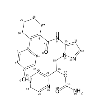 Cc1ccc(C2=C(C(=O)Nc3ccnn3CC(OC(N)=O)c3ccccn3)CCCC2)cc1